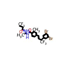 Cc1cc(C=CC(c2cc(Br)cc(Br)c2)C(F)(F)F)ccc1C(=O)N[C@H](C)NC(=O)CCC(F)(F)F